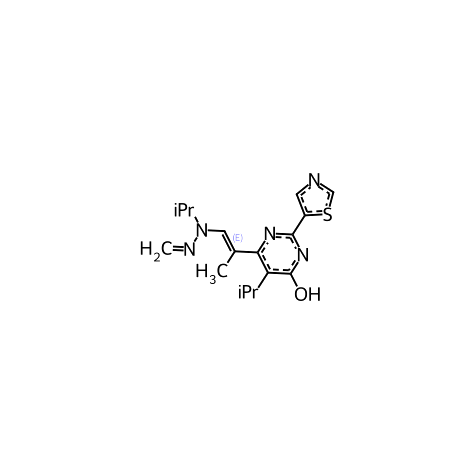 C=NN(/C=C(\C)c1nc(-c2cncs2)nc(O)c1C(C)C)C(C)C